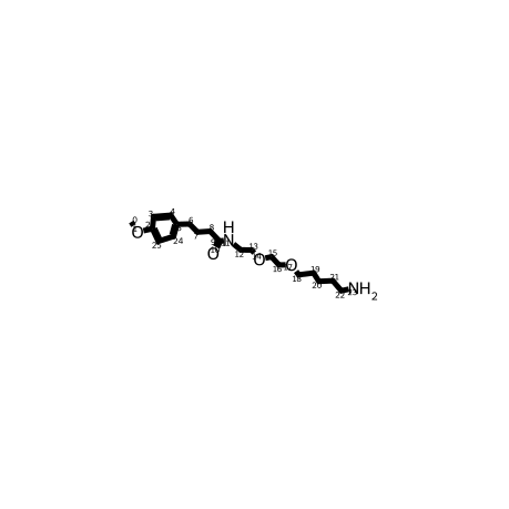 COc1ccc(CCCC(=O)NCCOCCOCCCCCN)cc1